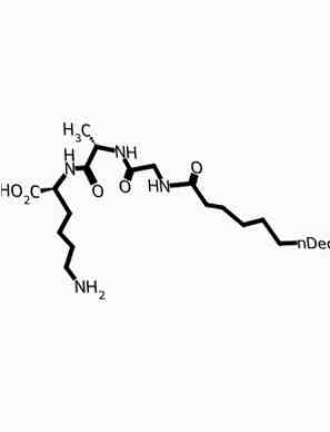 CCCCCCCCCCCCCCCC(=O)NCC(=O)N[C@@H](C)C(=O)N[C@@H](CCCCN)C(=O)O